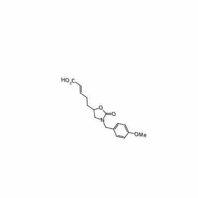 COc1ccc(CN2CC(CC/C=C/C(=O)O)OC2=O)cc1